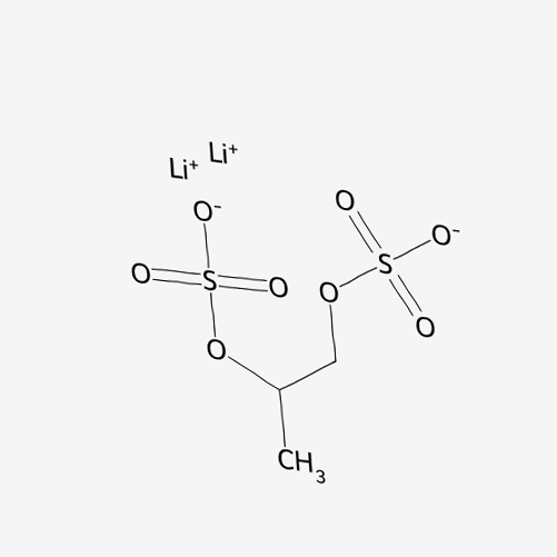 CC(COS(=O)(=O)[O-])OS(=O)(=O)[O-].[Li+].[Li+]